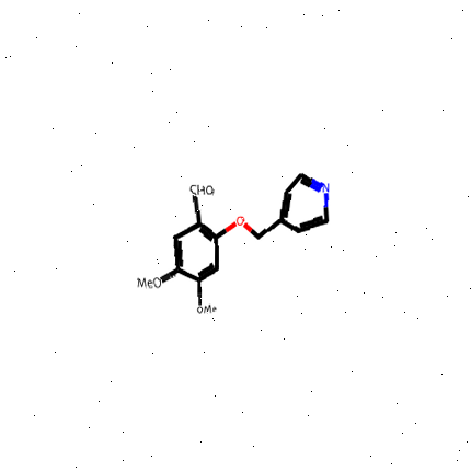 COc1cc(C=O)c(OCc2ccncc2)cc1OC